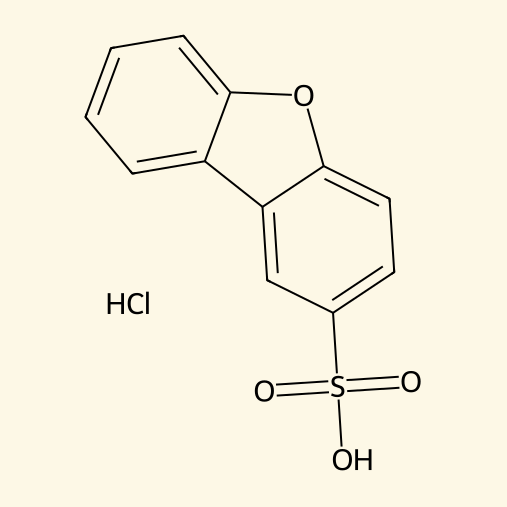 Cl.O=S(=O)(O)c1ccc2oc3ccccc3c2c1